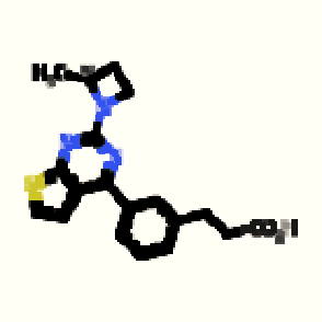 C[C@H]1CCN1c1nc(-c2cccc(CCC(=O)O)c2)c2ccsc2n1